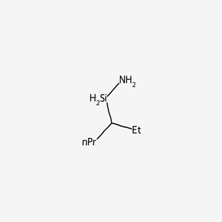 CCCC(CC)[SiH2]N